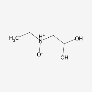 CC[NH+]([O-])CC(O)O